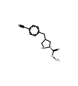 COC(=O)[C@@H]1CC(Cc2ccc(C#N)cc2)CN1